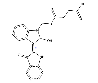 O=C(O)CCC(=O)OCN1c2ccccc2/C(=C2/Nc3ccccc3C2=O)C1O